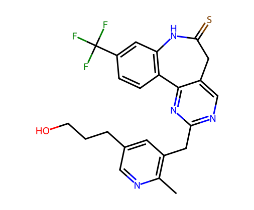 Cc1ncc(CCCO)cc1Cc1ncc2c(n1)-c1ccc(C(F)(F)F)cc1NC(=S)C2